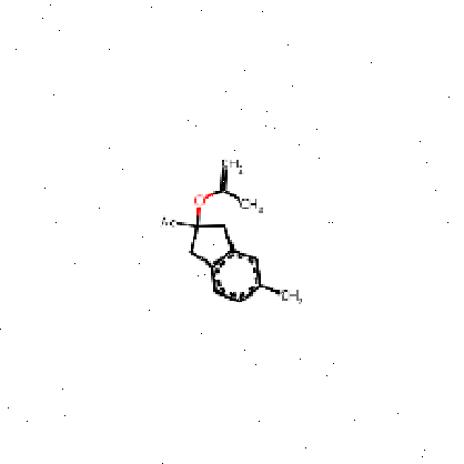 C=C(C)OC1(C(C)=O)Cc2ccc(C)cc2C1